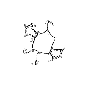 OC1Cc2ccsc2C(Br)C(Br)c2ccsc21